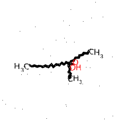 CCCCCCCCCCCCCCCCC(CCCCCC)(CCCCCCCCCC)C(=O)O